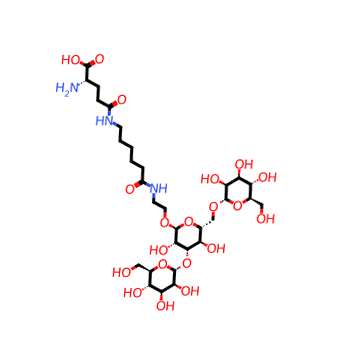 N[C@@H](CCC(=O)NCCCCCC(=O)NCCO[C@H]1O[C@H](CO[C@H]2O[C@H](CO)[C@@H](O)[C@H](O)[C@@H]2O)[C@@H](O)[C@H](O[C@H]2O[C@H](CO)[C@@H](O)[C@H](O)[C@@H]2O)[C@@H]1O)C(=O)O